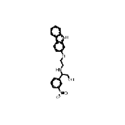 O=[N+]([O-])c1cccc(C(CO)NCCOc2ccc3c(c2)[nH]c2ccccc23)c1